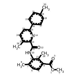 COC(=O)c1ccc(C)c(NC(=O)c2nc(-c3ccc(C)cc3)ccc2C)c1C